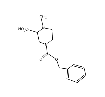 O=CN1CCN(C(=O)OCc2ccccc2)CC1C(=O)O